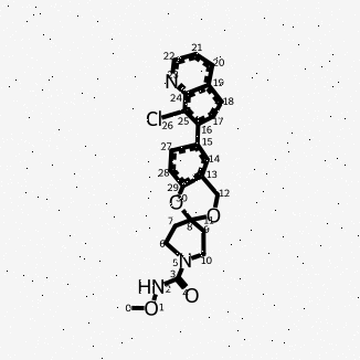 CONC(=O)N1CCC2(CC1)OCc1cc(-c3ccc4cccnc4c3Cl)ccc1O2